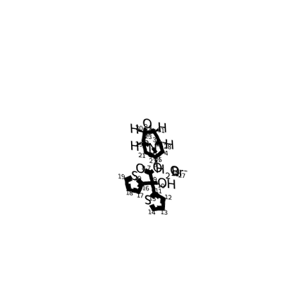 C[N+]1(C)[C@@H]2C[C@@H](OC(=O)C(O)(c3cccs3)c3cccs3)C[C@H]1[C@@H]1O[C@@H]12.O.[Br-]